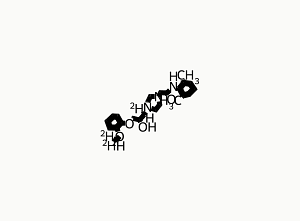 [2H]C([2H])([2H])Oc1ccccc1OCC(O)C([2H])([2H])N1CCN(CC(=O)Nc2c(C)cccc2C)CC1